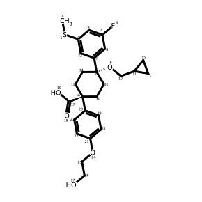 CSc1cc(F)cc([C@]2(OCC3CC3)CC[C@@](C(=O)O)(c3ccc(OCCO)cc3)CC2)c1